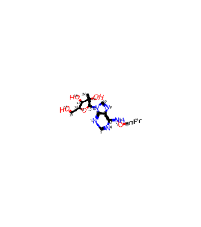 CCCONc1ncnc2c1ncn2C1OC(CO)C(O)C1(C)O